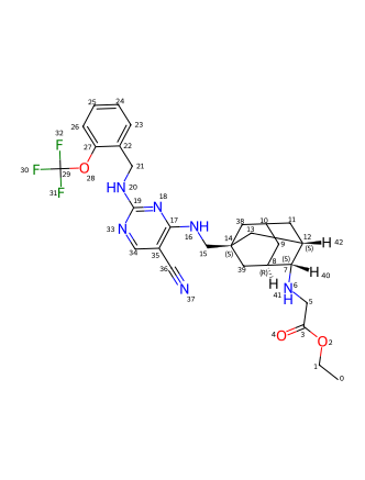 CCOC(=O)CN[C@@H]1[C@@H]2CC3C[C@H]1C[C@@](CNc1nc(NCc4ccccc4OC(F)(F)F)ncc1C#N)(C3)C2